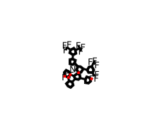 FC(F)(F)c1cc(-c2ccc3c(c2)c2cc(-c4cc(C(F)(F)F)cc(C(F)(F)F)c4)ccc2n3-c2ccccc2-c2ccc(-c3ccccc3)cc2-c2ccccc2C(F)(F)F)cc(C(F)(F)F)c1